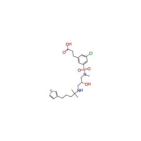 CN(CC(O)CNC(C)(C)CCCc1ccsc1)S(=O)(=O)c1cc(Cl)cc(CCC(=O)O)c1